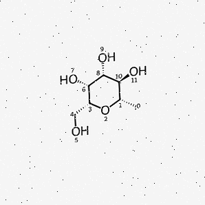 [CH2][C@@H]1O[C@H](CO)[C@H](O)[C@H](O)[C@H]1O